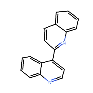 [c]1cc(-c2ccnc3ccccc23)nc2ccccc12